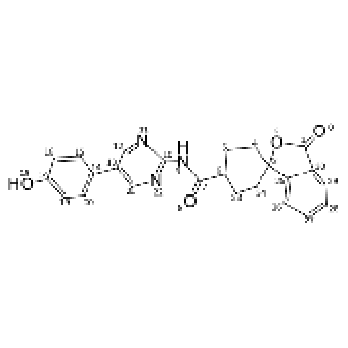 O=C1OC2(CCC(C(=O)Nc3ncc(-c4ccc(O)cc4)cn3)CC2)c2ccccc21